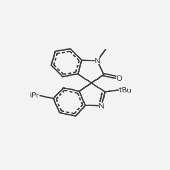 CC(C)c1ccc2c(c1)C1(C(=O)N(C)c3ccccc31)C(C(C)(C)C)=N2